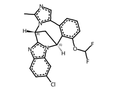 Cc1ncc2n1[C@@H]1C[C@@H](c3c(OC(F)F)cccc3-2)n2c1nc1ccc(Cl)cc12